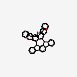 c1ccc(-c2cc(-c3ccccc3)cc(C3c4ccccc4-c4ccc5c(c43)C(c3cc(-c4ccccc4)nc(-c4ccccc4)c3)c3ccccc3-5)c2)cc1